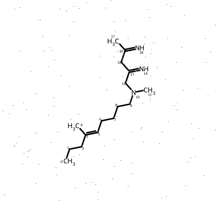 CCC/C(C)=C/CCCCN(C)CC(=N)CC(C)=N